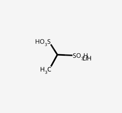 CC(S(=O)(=O)O)S(=O)(=O)O.[LiH]